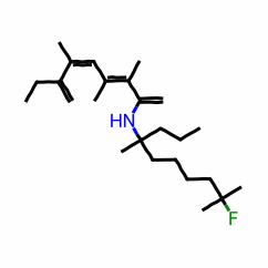 C=C(CC)/C(C)=C\C(C)=C(/C)C(=C)NC(C)(CCC)CCCCC(C)(C)F